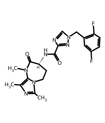 Cc1nc(C)n2c1N(C)C(=O)[C@H](NC(=O)c1ncn(Cc3cc(F)ccc3F)n1)CC2